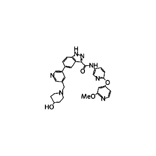 COc1cc(Oc2ccc(NC(=O)c3n[nH]c4ccc(-c5cncc(CN6CCC(O)CC6)c5)cc34)cn2)ccn1